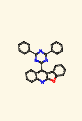 c1ccc(-c2nc(-c3ccccc3)nc(-c3c4ccccc4nc4oc5ccccc5c34)n2)cc1